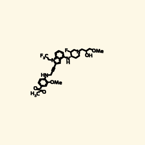 COC[C@@H](O)CN1CC[C@H](Nc2cccc3c2cc(C#CCNc2ccc(S(C)(=O)=O)cc2OC)n3CC(F)(F)F)[C@@H](F)C1